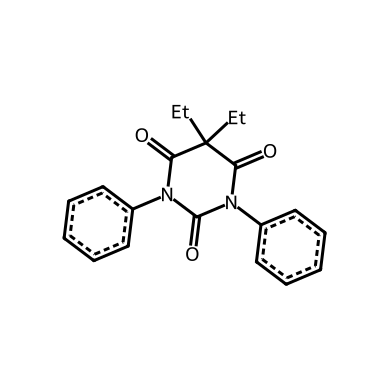 CCC1(CC)C(=O)N(c2ccccc2)C(=O)N(c2ccccc2)C1=O